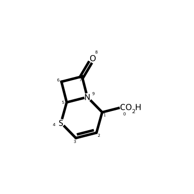 O=C(O)C1C=CSC2CC(=O)N21